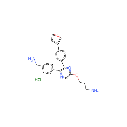 Cl.NCCCOc1cnc(-c2ccc(CN)cc2)c(-c2ccc(-c3ccoc3)cc2)n1